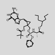 CCCC(CCC)COC(=O)[C@H](C)NP(=O)(OCC1(COC(=O)C(C)(C)C)C/C1=C/n1cnc2c(=O)[nH]c(N)nc21)Oc1ccccc1